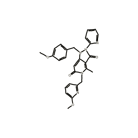 COc1ccc(Cn2c3cc(=O)n(Cc4cccc(OC)n4)c(C)c3c(=O)n2-c2ccccn2)cc1